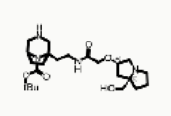 CC(C)(C)OC(=O)N1C2CCC1(CCNC(=O)CO[C@H]1CN3CCC[C@]3(CO)C1)CNC2